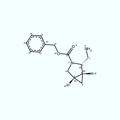 NC[C@@H]1[C@@H]2C[C@@H]2CN1C(=O)OCc1ccccc1